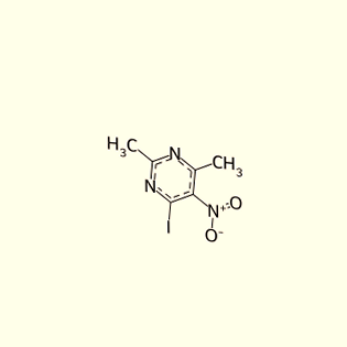 Cc1nc(C)c([N+](=O)[O-])c(I)n1